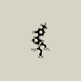 C#CCC(C)n1c(CC)nc2c(-c3ccc(C(F)(F)F)cc3Cl)ncnc21